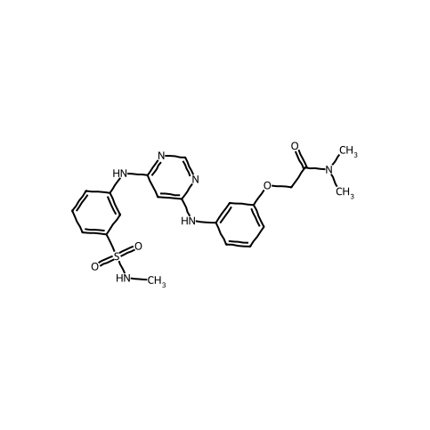 CNS(=O)(=O)c1cccc(Nc2cc(Nc3cccc(OCC(=O)N(C)C)c3)ncn2)c1